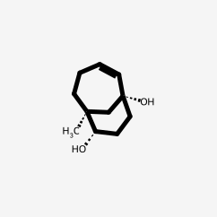 C[C@@]12CCC=C[C@@](O)(CC[C@@H]1O)C2